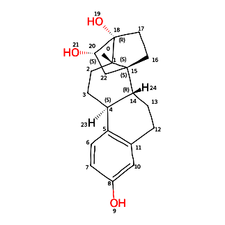 C[C@]12CC[C@@H]3c4ccc(O)cc4CC[C@H]3[C@@]13CC[C@]2(O)[C@@H](O)C3